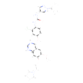 COc1cc2c(Oc3ccc(NC(=O)Nc4cnn(C(C)C)c4)c(Cl)c3)ncnc2cc1OCCN1CCCC1